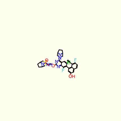 C#Cc1c(F)ccc2cc(O)cc(-c3c(Cl)cc4c(N5CC6CCC(C5)N6)nc(OCCCN5C6CCC5CS(=N)(=O)C6)nc4c3F)c12